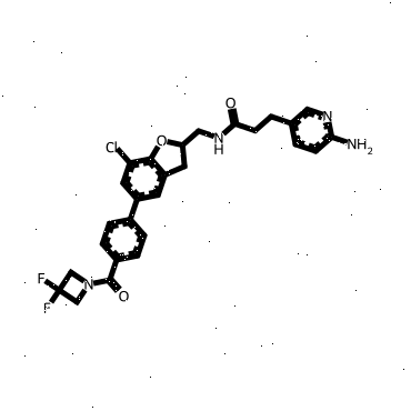 Nc1ccc(CCC(=O)NCC2Cc3cc(-c4ccc(C(=O)N5CC(F)(F)C5)cc4)cc(Cl)c3O2)cn1